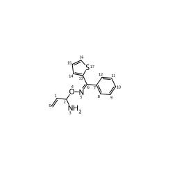 C=CC(N)ON=C(c1ccccc1)c1cccs1